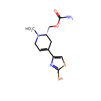 NC(=O)OC[C@@H]1CC(c2csc(S)n2)=CCN1C(=O)O